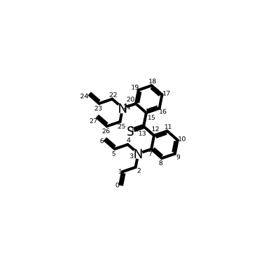 C=CCN(CC=C)c1ccccc1C(=S)c1ccccc1N(CC=C)CC=C